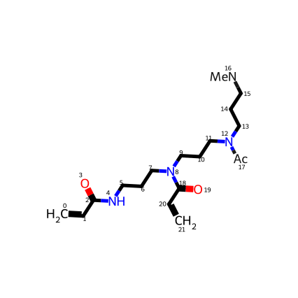 C=CC(=O)NCCCN(CCCN(CCCNC)C(C)=O)C(=O)C=C